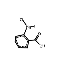 O=C(O)c1cccc[c]1[Hg]([Cl])[I]